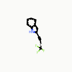 FC(F)(F)CC#Cc1cc2ccccc2[nH]1